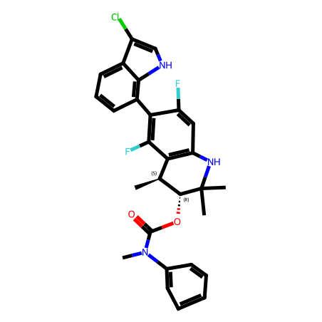 C[C@H]1c2c(cc(F)c(-c3cccc4c(Cl)c[nH]c34)c2F)NC(C)(C)[C@@H]1OC(=O)N(C)c1ccccc1